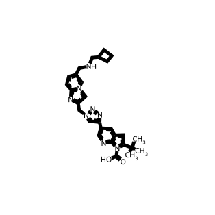 CC(C)(C)c1cc2cc(-c3cn(Cc4cn5cc(CNCC6CCC6)ccc5n4)nn3)cnc2n1C(=O)O